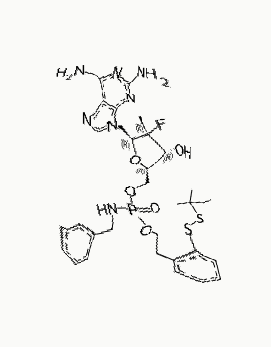 CC(C)(C)SSc1ccccc1CCOP(=O)(NCc1ccccc1)OC[C@H]1O[C@@H](n2cnc3c(N)nc(N)nc32)[C@](C)(F)[C@@H]1O